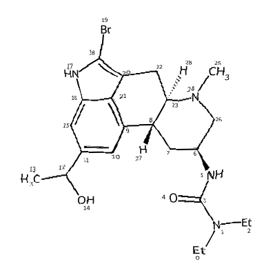 CCN(CC)C(=O)N[C@H]1C[C@@H]2c3cc(C(C)O)cc4[nH]c(Br)c(c34)C[C@H]2N(C)C1